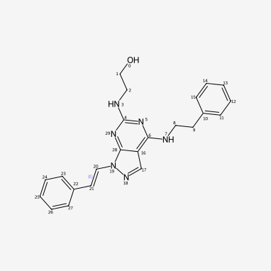 OCCNc1nc(NCCc2ccccc2)c2cnn(/C=C/c3ccccc3)c2n1